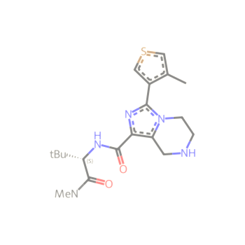 CNC(=O)[C@@H](NC(=O)c1nc(-c2cscc2C)n2c1CNCC2)C(C)(C)C